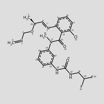 C=NCO[C@@H](C)/C=N/c1cccc(Cl)c1C(=O)N(C)c1cccc(NC(=O)NCC(F)F)c1